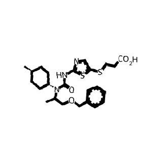 CC(COCc1ccccc1)N(C(=O)Nc1ncc(SCCC(=O)O)s1)[C@H]1CC[C@H](C)CC1